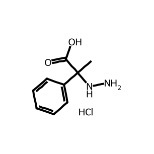 CC(NN)(C(=O)O)c1ccccc1.Cl